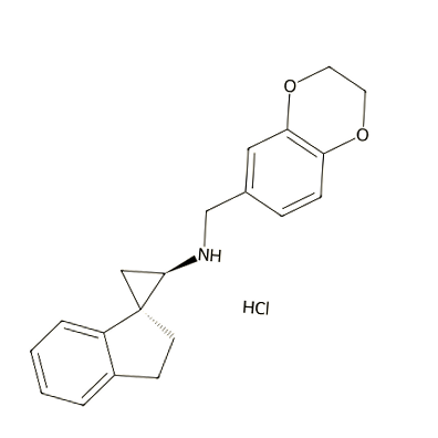 Cl.c1ccc2c(c1)CC[C@@]21C[C@H]1NCc1ccc2c(c1)OCCO2